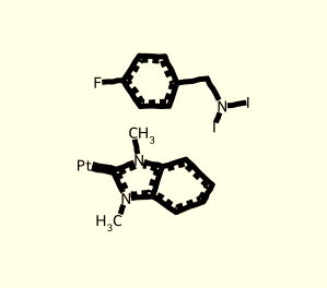 Cn1[c](=[Pt])n(C)c2ccccc21.Fc1ccc(CN(I)I)cc1